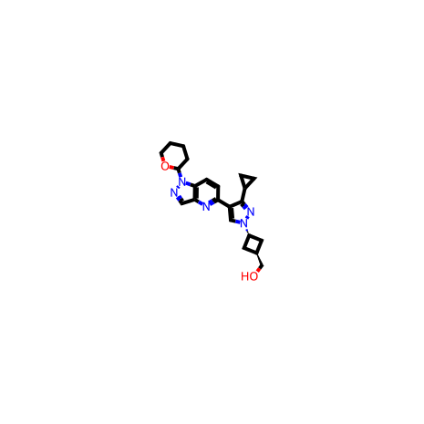 OC[C@H]1C[C@H](n2cc(-c3ccc4c(cnn4C4CCCCO4)n3)c(C3CC3)n2)C1